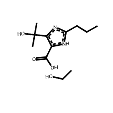 CCCc1nc(C(C)(C)O)c(C(=O)O)[nH]1.CCO